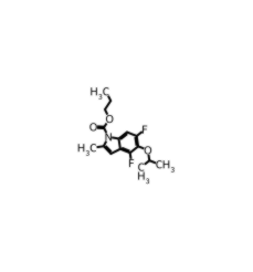 CCCOC(=O)n1c(C)cc2c(F)c(OC(C)C)c(F)cc21